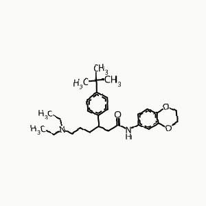 CCN(CC)CCCC(CC(=O)Nc1ccc2c(c1)OCCO2)c1ccc(C(C)(C)C)cc1